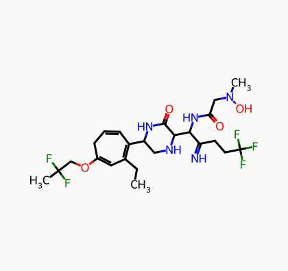 CCC1=C(C2CNC(C(NC(=O)CN(C)O)C(=N)CCC(F)(F)F)C(=O)N2)C=CCC(OCC(C)(F)F)=C1